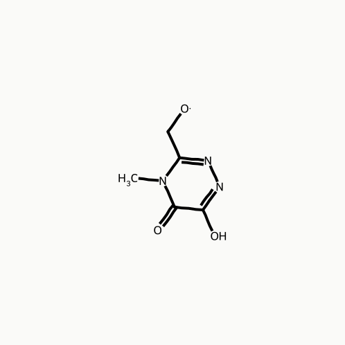 Cn1c(C[O])nnc(O)c1=O